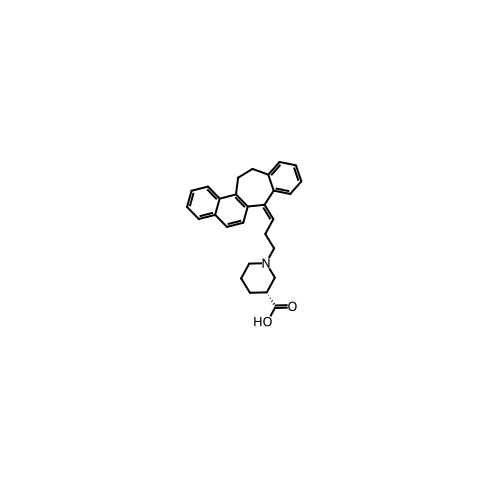 O=C(O)[C@@H]1CCCN(CCC=C2c3ccccc3CCc3c2ccc2ccccc32)C1